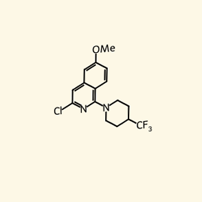 COc1ccc2c(N3CCC(C(F)(F)F)CC3)nc(Cl)cc2c1